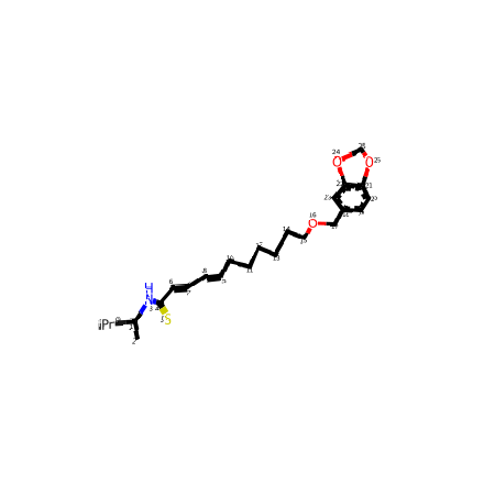 CC(C)C(C)NC(=S)C=CC=CCCCCCCOCc1ccc2c(c1)OCO2